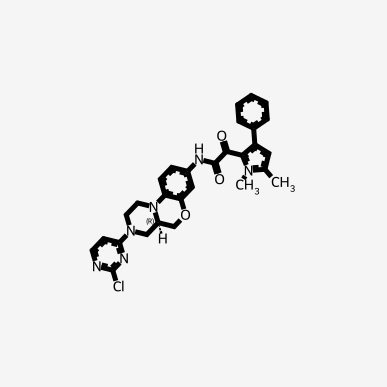 Cc1cc(-c2ccccc2)c(C(=O)C(=O)Nc2ccc3c(c2)OC[C@H]2CN(c4ccnc(Cl)n4)CCN32)n1C